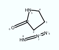 O=C1CCCN1.[N-]=[N+]=N